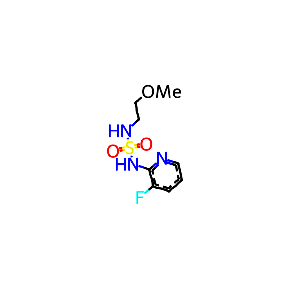 COCCNS(=O)(=O)Nc1ncccc1F